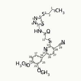 CCCSc1nnc(NC(=O)CSc2nc(-c3ccc(OC)c(OC)c3)ccc2C#N)s1